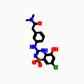 CN(C)C(=O)Cc1cccc(NC2=NS(=O)(=O)c3cc(Cl)cc(O)c3N2)c1